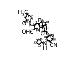 CN1CCN(Cc2cc3c(nc2C=O)N(C(=O)Nc2cc(NC4CCCC4)c(C#N)cn2)C2CC3(F)C2)C(=O)C1